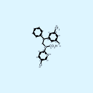 O=C(O)N(CC(c1ccccc1)c1cc(F)cc(C(F)(F)F)c1)c1ccc(Cl)cn1